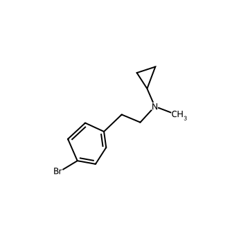 CN(CCc1ccc(Br)cc1)C1CC1